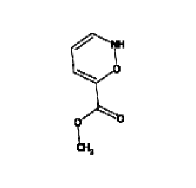 COC(=O)C1=CC=CNO1